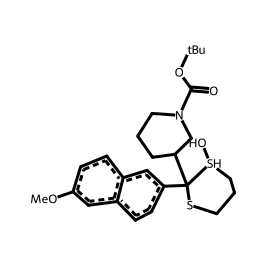 COc1ccc2cc(C3(C4CCCN(C(=O)OC(C)(C)C)C4)SCCC[SH]3O)ccc2c1